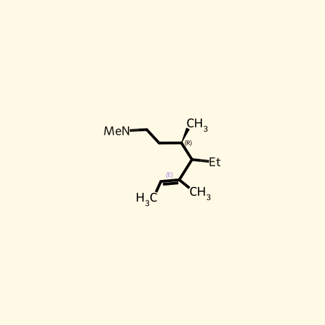 C/C=C(\C)C(CC)[C@H](C)CCNC